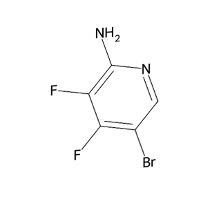 Nc1ncc(Br)c(F)c1F